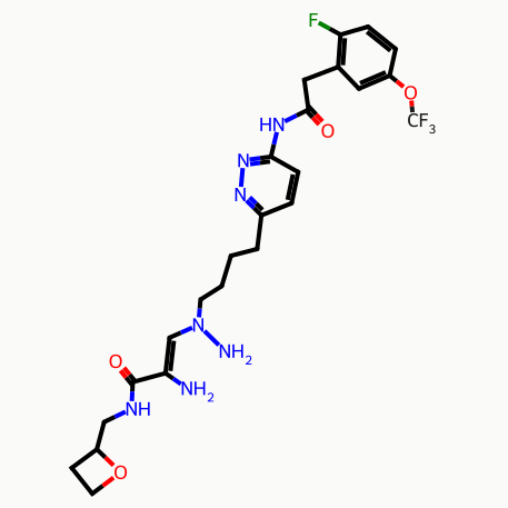 N/C(=C\N(N)CCCCc1ccc(NC(=O)Cc2cc(OC(F)(F)F)ccc2F)nn1)C(=O)NCC1CCO1